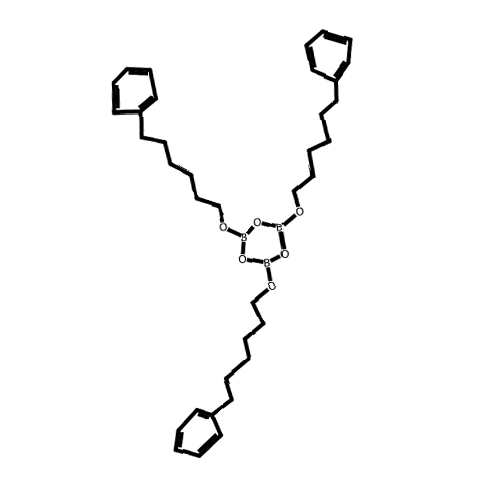 c1ccc(CCCCCCOB2OB(OCCCCCCc3ccccc3)OB(OCCCCCCc3ccccc3)O2)cc1